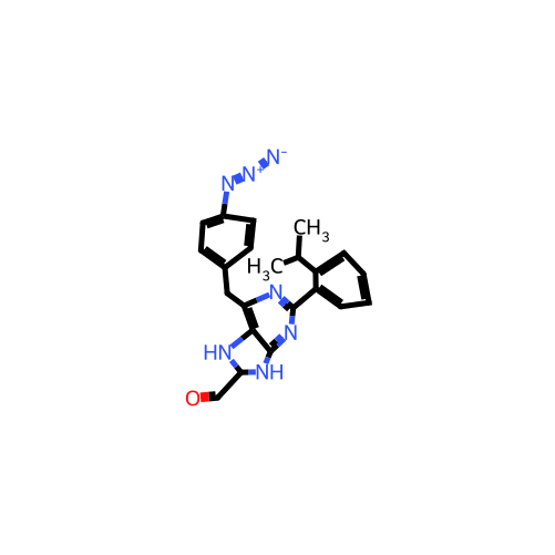 CC(C)c1ccccc1-c1nc(Cc2ccc(N=[N+]=[N-])cc2)c2c(n1)NC(C=O)N2